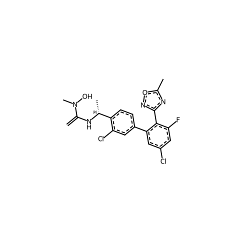 C=C(N[C@H](C)c1ccc(-c2cc(Cl)cc(F)c2-c2noc(C)n2)cc1Cl)N(C)O